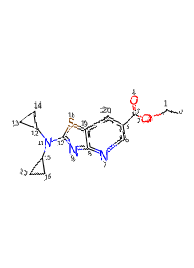 CCOC(=O)c1cnc2nc(N(C3CC3)C3CC3)sc2c1